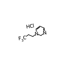 Cl.FC(F)(F)CCN1C=CC=NC1